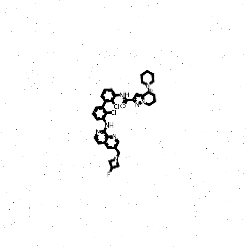 O=C(Nc1cccc(-c2cccc(Nc3nccc4cc(CN5CC(F)C5)cnc34)c2Cl)c1Cl)c1cc2n(n1)CCC[C@@H]2N1CCCCC1